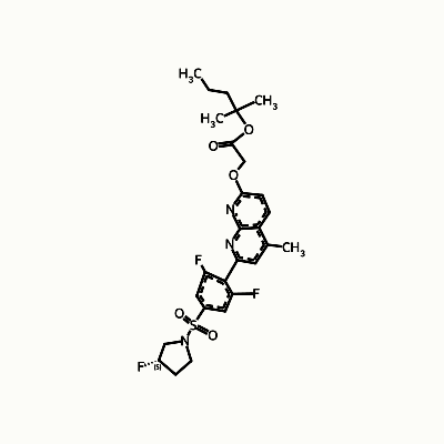 CCCC(C)(C)OC(=O)COc1ccc2c(C)cc(-c3c(F)cc(S(=O)(=O)N4CC[C@H](F)C4)cc3F)nc2n1